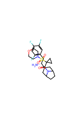 N[C@H](Cc1cc(F)c(F)cc1F)C1CC2CCC(C1)N2C(=O)C1(S(=O)(=O)N2CCOCC2)CC1